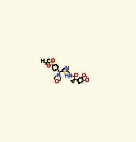 CS(=O)(=O)c1ccc(C(c2cnc(CNC(=O)C3(c4ccc5c(c4)OCO5)CC3)s2)N2CCOCC2)cc1